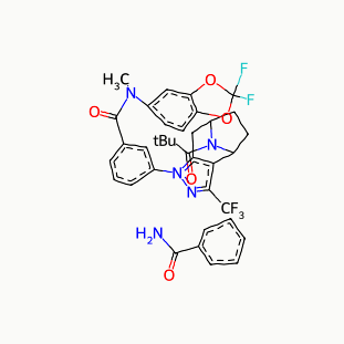 CN(C(=O)c1cccc(-n2nc(C(F)(F)F)c3c2CC2CCC3N2C(=O)C(C)(C)C)c1)c1ccc2c(c1)OC(F)(F)O2.NC(=O)c1ccccc1